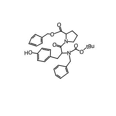 CC(C)(C)OC(=O)N(Cc1ccccc1)C(Cc1ccc(O)cc1)C(=O)N1CCCC1C(=O)OCc1ccccc1